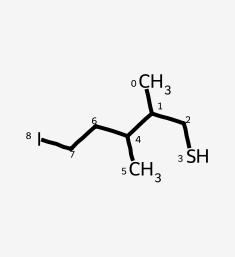 CC(CS)C(C)CCI